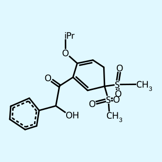 CC(C)OC1=CCC(S(C)(=O)=O)(S(C)(=O)=O)C=C1C(=O)C(O)c1ccccc1